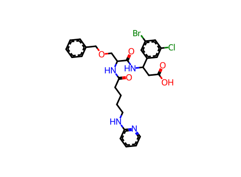 O=C(O)CC(NC(=O)C(COCc1ccccc1)NC(=O)CCCCNc1ccccn1)c1cc(Cl)cc(Br)c1